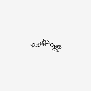 O=C(Nc1ccc(-c2ccc3ncc(N4CCN(Cc5cccnc5)CC4)nc3c2)cc1)C1(c2ccccc2)CC1